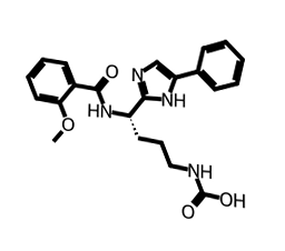 COc1ccccc1C(=O)N[C@@H](CCCNC(=O)O)c1ncc(-c2ccccc2)[nH]1